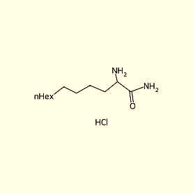 CCCCCCCCCCC(N)C(N)=O.Cl